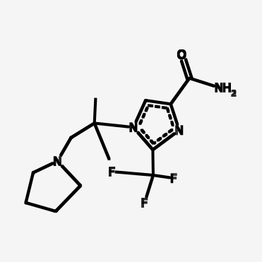 CC(C)(CN1CCCC1)n1cc(C(N)=O)nc1C(F)(F)F